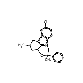 CN1Cc2c3n(c4ccc(Cl)cc24)CC(C)(c2ccncc2)OC3C1